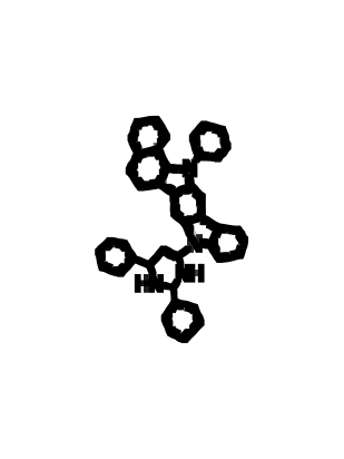 C1=C(n2c3ccccc3c3cc4c(cc32)c2ccc3ccccc3c2n4-c2ccccc2)NC(c2ccccc2)NC1c1ccccc1